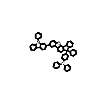 c1ccc(N(c2ccccc2)c2ccc(C3(c4ccccc4)c4ccccc4-c4c3ccc3c4sc4ccc(-c5ccc6c7ccccc7n(-c7ccccc7)c6c5)cc43)cc2)cc1